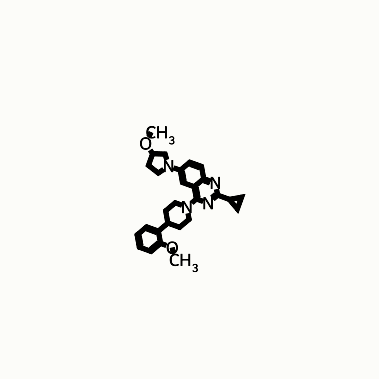 COc1ccccc1C1CCN(c2nc(C3CC3)nc3ccc(N4CCC(OC)C4)cc23)CC1